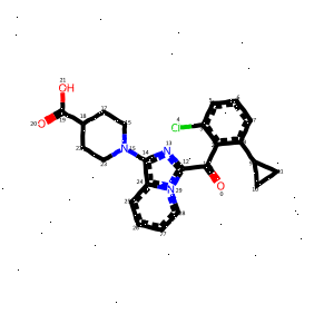 O=C(c1c(Cl)cccc1C1CC1)c1nc(N2CCC(C(=O)O)CC2)c2ccccn12